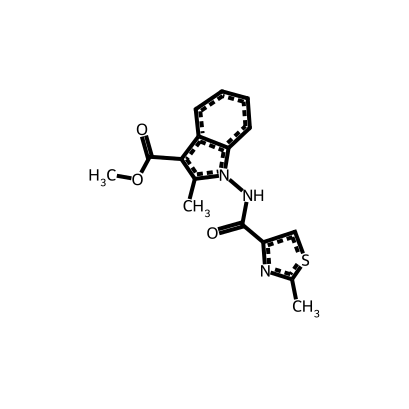 COC(=O)c1c(C)n(NC(=O)c2csc(C)n2)c2ccccc12